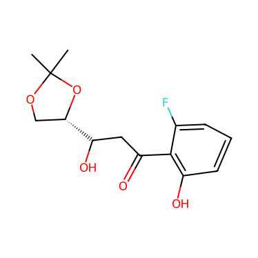 CC1(C)OC[C@@H](C(O)CC(=O)c2c(O)cccc2F)O1